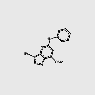 COc1nc(Nc2ccccc2)nc2c1ncn2C(C)C